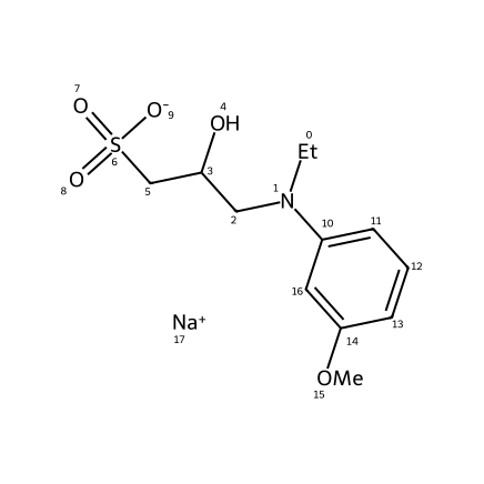 CCN(CC(O)CS(=O)(=O)[O-])c1cccc(OC)c1.[Na+]